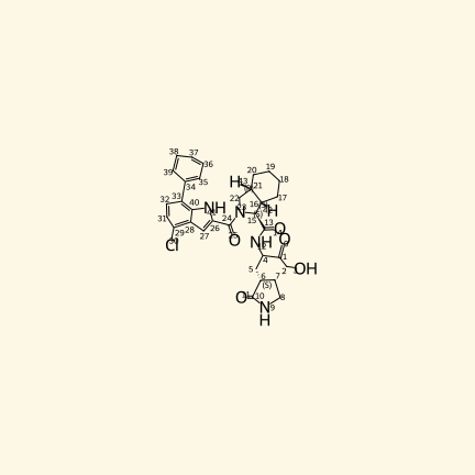 O=C(CO)C(C[C@@H]1CCNC1=O)NC(=O)[C@@H]1[C@H]2CCCC[C@H]2CN1C(=O)c1cc2c(Cl)ccc(-c3ccccc3)c2[nH]1